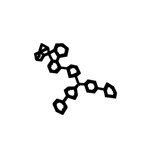 c1ccc(-c2ccc(N(c3ccc(-c4ccccc4)cc3)c3cccc(-c4cccc5c4-c4ccccc4C54C5CC6CC(C5)C4C6)c3)cc2)cc1